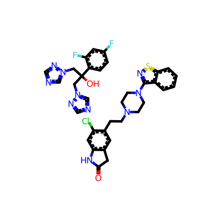 O=C1Cc2cc(CCN3CCN(c4nsc5ccccc45)CC3)c(Cl)cc2N1.OC(Cn1cncn1)(Cn1cncn1)c1ccc(F)cc1F